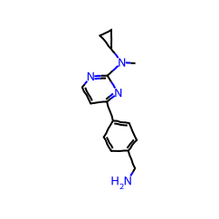 CN(c1nccc(-c2ccc(CN)cc2)n1)C1CC1